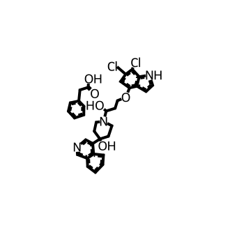 O=C(O)Cc1ccccc1.OC(CCOc1cc(Cl)c(Cl)c2[nH]ccc12)N1CCC(O)(c2cncc3ccccc23)CC1